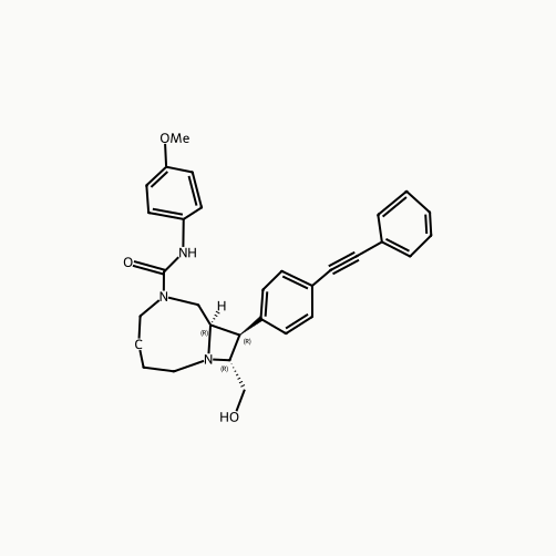 COc1ccc(NC(=O)N2CCCCN3[C@@H](CO)[C@H](c4ccc(C#Cc5ccccc5)cc4)[C@@H]3C2)cc1